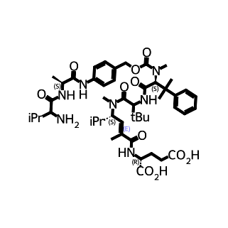 C/C(=C\[C@H](C(C)C)N(C)C(=O)C(NC(=O)[C@@H](N(C)C(=O)OCc1ccc(NC(=O)[C@H](C)NC(=O)C(N)C(C)C)cc1)C(C)(C)c1ccccc1)C(C)(C)C)C(=O)N[C@H](CCC(=O)O)C(=O)O